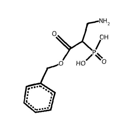 NCC(C(=O)OCc1ccccc1)P(=O)(O)O